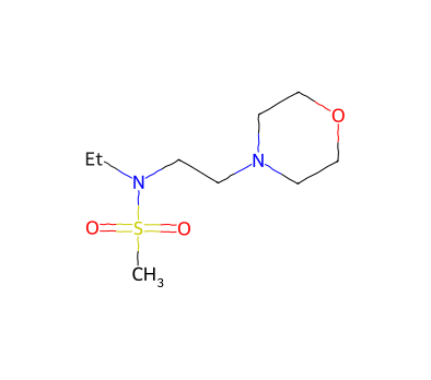 CCN(CCN1CCOCC1)S(C)(=O)=O